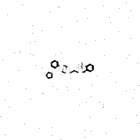 O=c1c2ccccc2nnn1CCCN1CCN(c2ccccc2OC2CCCC2)CC1